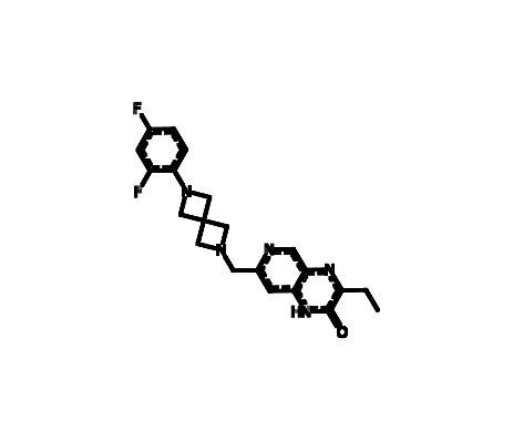 CCc1nc2cnc(CN3CC4(C3)CN(c3ccc(F)cc3F)C4)cc2[nH]c1=O